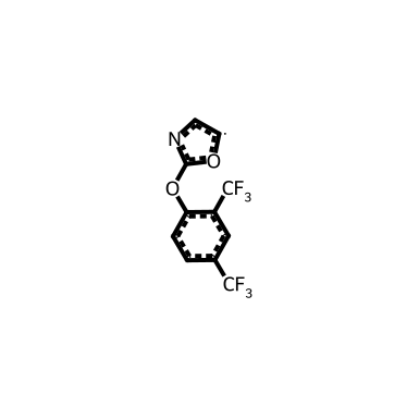 FC(F)(F)c1ccc(Oc2nc[c]o2)c(C(F)(F)F)c1